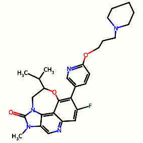 CC(C)C1Cn2c(=O)n(C)c3cnc4cc(F)c(-c5ccc(OCCCN6CCCCC6)nc5)c(c4c32)O1